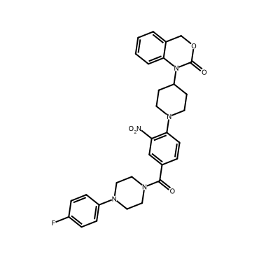 O=C(c1ccc(N2CCC(N3C(=O)OCc4ccccc43)CC2)c([N+](=O)[O-])c1)N1CCN(c2ccc(F)cc2)CC1